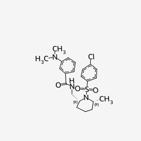 C[C@@H]1CCC[C@H](CNC(=O)c2cccc(N(C)C)c2)N1S(=O)(=O)c1ccc(Cl)cc1